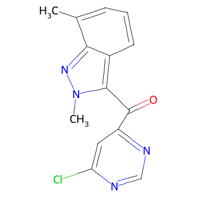 Cc1cccc2c(C(=O)c3cc(Cl)ncn3)n(C)nc12